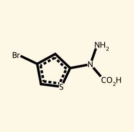 NN(C(=O)O)c1cc(Br)cs1